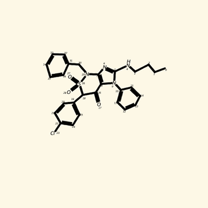 CCCCNc1nc2c(n1-c1ccccc1)C(=O)C(c1ccc(Cl)cc1)S(=O)(=O)N2Cc1ccccc1